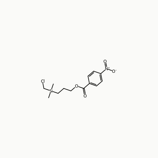 C[Si](C)(CCl)CCCOC(=O)c1ccc([N+](=O)[O-])cc1